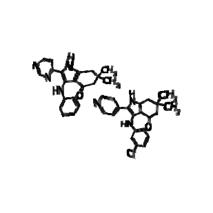 CC1(C)CC(=O)c2c([nH]c(-c3ccncc3)c2Nc2cccc(Cl)c2)C1.CC1(C)CC(=O)c2c([nH]c(-c3ccncn3)c2Nc2ccccc2)C1